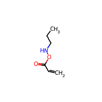 C=CC(=O)ONCCC